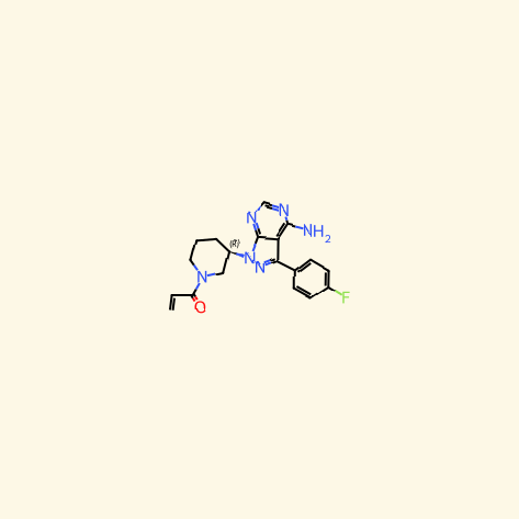 C=CC(=O)N1CCC[C@@H](n2nc(-c3ccc(F)cc3)c3c(N)ncnc32)C1